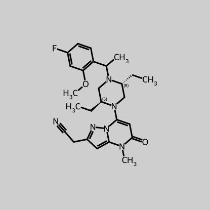 CC[C@H]1CN(C(C)c2ccc(F)cc2OC)[C@H](CC)CN1c1cc(=O)n(C)c2cc(CC#N)nn12